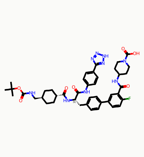 CC(C)(C)OC(=O)NC[C@H]1CC[C@H](C(=O)N[C@@H](Cc2ccc(-c3ccc(F)c(C(=O)NC4CCN(C(=O)O)CC4)c3)cc2)C(=O)Nc2ccc(-c3nn[nH]n3)cc2)CC1